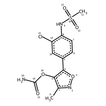 Cc1noc(-c2ccc(NS(C)(=O)=O)c(Cl)c2)c1OC(N)=O